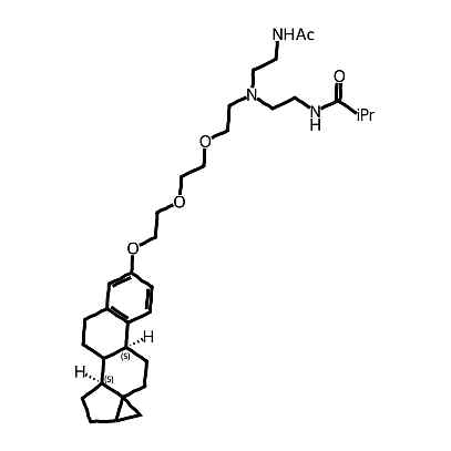 CC(=O)NCCN(CCNC(=O)C(C)C)CCOCCOCCOc1ccc2c(c1)CCC1[C@@H]2CCC23CC2CC[C@@H]13